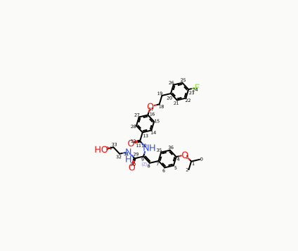 CC(C)Oc1ccc(/C=C(\NC(=O)c2ccc(OCCc3ccc(F)cc3)cc2)C(=O)NCCO)cc1